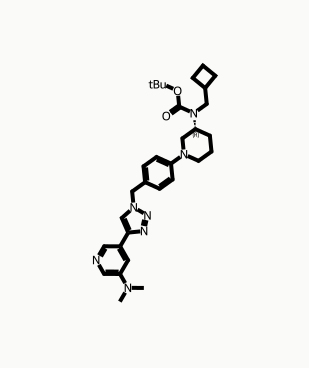 CN(C)c1cncc(-c2cn(Cc3ccc(N4CCC[C@@H](N(CC5CCC5)C(=O)OC(C)(C)C)C4)cc3)nn2)c1